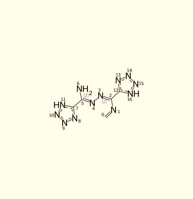 C=N/C(=N\N=C(/N)c1nnn[nH]1)c1nnn[nH]1